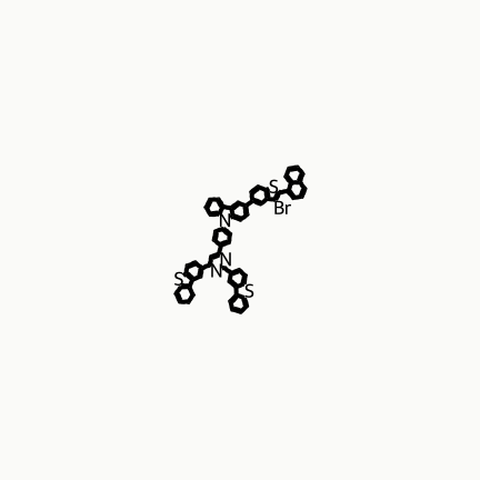 Brc1c(-c2cccc3ccccc23)sc2ccc(-c3ccc4c(c3)c3ccccc3n4-c3ccc(-c4cc(-c5ccc6sc7c(c6c5)CCC=C7)nc(-c5ccc6sc7ccccc7c6c5)n4)cc3)cc12